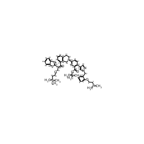 CN(C)CCOc1ccccc1Cn1cc(-c2ccc(N3CCc4cccc(C(=O)N(COCC[Si](C)(C)C)c5nc6ccccc6s5)c4C3)nc2C(=O)OC(C)(C)C)cn1